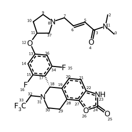 CN(C)C(=O)/C=C/CN1CCC(Oc2cc(F)c([C@@H]3c4ccc5[nH]c(=O)oc5c4CCN3CC(F)(F)F)c(F)c2)C1